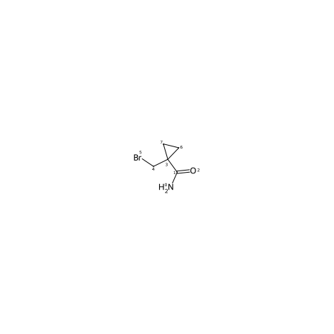 NC(=O)C1(CBr)CC1